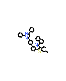 C=C/C=c1/sc2c(c(-c3cccc4ccccc34)nc3c(-c4ccc(-c5cc(C6=CCCC=C6)nc(-c6ccccc6)n5)cc4)cccc32)/c1=C/C